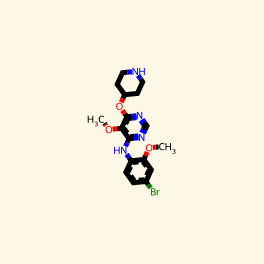 COc1cc(Br)ccc1Nc1ncnc(OC2CCNCC2)c1OC